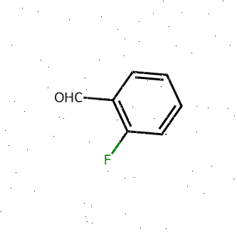 O=Cc1ccc[c]c1F